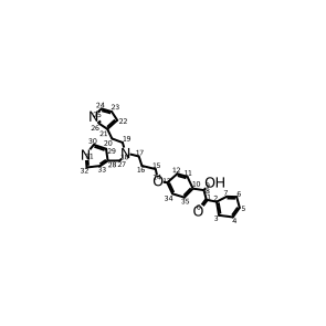 O=C(c1ccccc1)C(O)c1ccc(OCCCN(CCc2cccnc2)Cc2ccncc2)cc1